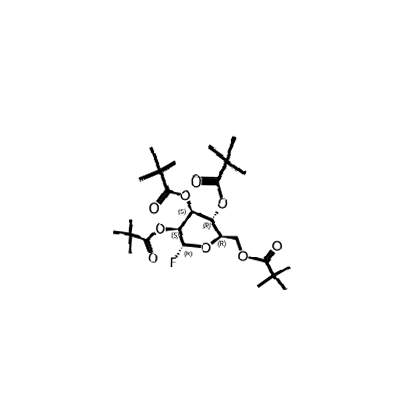 CC(C)(C)C(=O)OC[C@H]1O[C@H](F)[C@@H](OC(=O)C(C)(C)C)[C@@H](OC(=O)C(C)(C)C)[C@@H]1OC(=O)C(C)(C)C